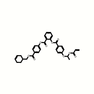 C=CC(=O)OC(C)Oc1ccc(C(=O)Oc2ccccc2C(=O)Oc2ccc(C(=O)OCC3CC=CCC3)cc2)cc1